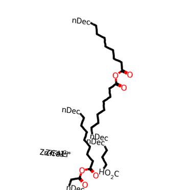 CCCCCCCCCCCCCC(=O)O.CCCCCCCCCCCCCCCCCC(=O)OC(=O)CCCCCCCCCCC.CCCCCCCCCCCCCCCCCC(=O)OC(=O)CCCCCCCCCCCCCCCCC.[Al+3].[Ca+2].[Li+].[Zn+2].[Zn+2]